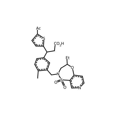 CCC1CN(Cc2cc(C(CC(=O)O)c3ccc(C(C)=O)s3)ccc2C)S(=O)(=O)c2cnccc2O1